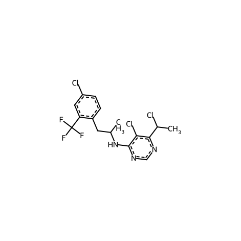 CC(Cc1ccc(Cl)cc1C(F)(F)F)Nc1ncnc(C(C)Cl)c1Cl